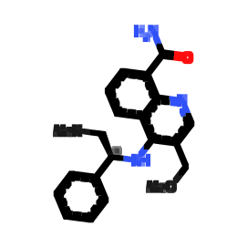 CNC[C@@H](Nc1c(COC)cnc2c(C(N)=O)cccc12)c1ccccc1